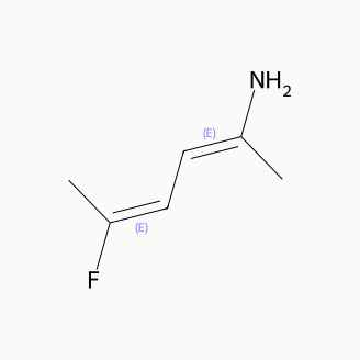 C/C(N)=C\C=C(/C)F